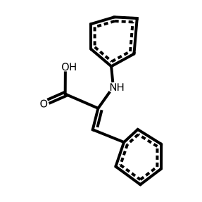 O=C(O)C(=Cc1ccccc1)Nc1ccccc1